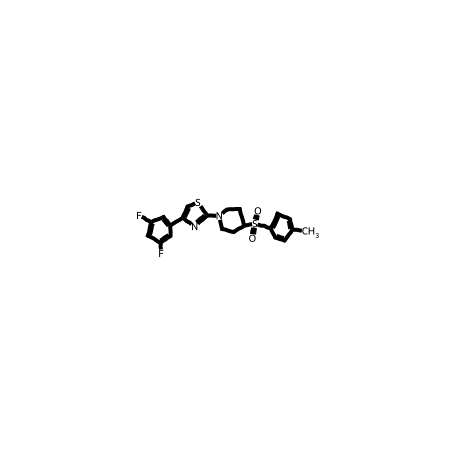 Cc1ccc(S(=O)(=O)C2CCN(c3nc(-c4cc(F)cc(F)c4)cs3)CC2)cc1